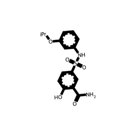 CC(C)Oc1cccc(NS(=O)(=O)c2ccc(O)c(C(N)=O)c2)c1